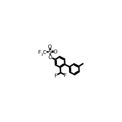 Cc1cccc(-c2ccc(OS(=O)(=O)C(F)(F)F)cc2C(F)F)c1